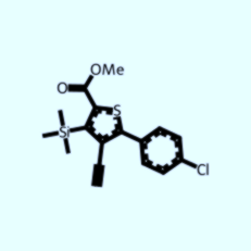 C#Cc1c(-c2ccc(Cl)cc2)sc(C(=O)OC)c1[Si](C)(C)C